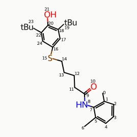 Cc1cccc(C)c1NC(=O)CCCCSc1cc(C(C)(C)C)c(O)c(C(C)(C)C)c1